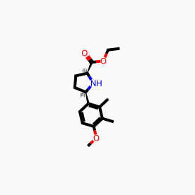 CCOC(=O)[C@@H]1CC[C@H](c2ccc(OC)c(C)c2C)N1